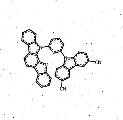 N#Cc1ccc2c(c1)c1cc(C#N)ccc1n2-c1cccc(-n2c3ccccc3c3ccc4c5ccccc5oc4c32)n1